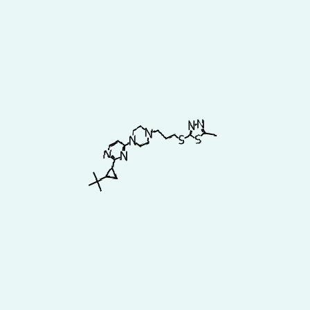 Cc1nnc(SCCCN2CCN(c3ccnc(C4CC4C(C)(C)C)n3)CC2)s1